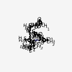 C=C(CNC(=O)CN1C(=O)CC(C)C1=O)NCC(=O)CCCCOc1cc(C(=C)N)cc2nc(CC(=C)C3=C(CC)N=C(NCCCC)C3)n(C/C=C/Cn3c(NC(=O)C4=C(CC)N=C(C)C4)nc4cc(C(=C)C)cc(OC)c43)c12